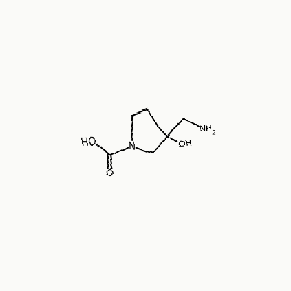 NCC1(O)CCN(C(=O)O)C1